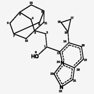 OC(CC12CC3CC(CC(C3)C1)C2)c1c(C2CC2)ccc2cncn12